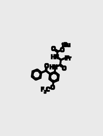 CC(C)C(NC(=O)OC(C)(C)C)C(=O)Nc1ccc(OC(F)(F)F)cc1C(=O)c1ccccc1